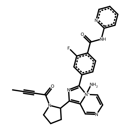 CC#CC(=O)N1CCCC1C1=C2C=NC=C[N+]2(N)C(c2ccc(C(=O)Nc3ccccn3)c(F)c2)=N1